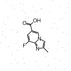 Cc1cn2cc(C(=O)O)cc(F)c2n1